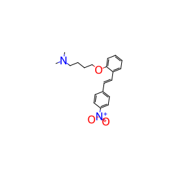 CN(C)CCCCOc1ccccc1C=Cc1ccc([N+](=O)[O-])cc1